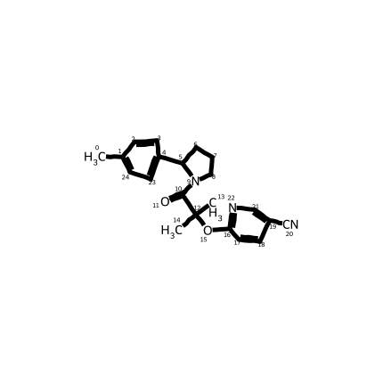 Cc1ccc(C2CCCN2C(=O)C(C)(C)Oc2ccc(C#N)cn2)cc1